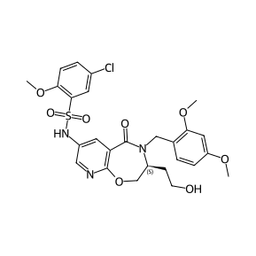 COc1ccc(CN2C(=O)c3cc(NS(=O)(=O)c4cc(Cl)ccc4OC)cnc3OC[C@@H]2CCO)c(OC)c1